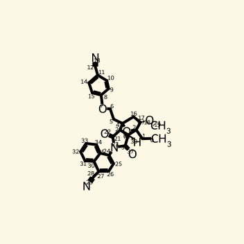 CCC12OC(CCOc3ccc(C#N)cc3)(C[C@@H]1OC)C1C(=O)N(c3ccc(C#N)c4ccccc34)C(=O)[C@H]12